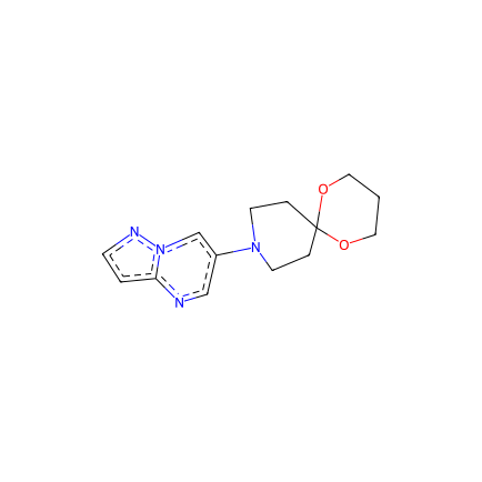 c1cc2ncc(N3CCC4(CC3)OCCCO4)cn2n1